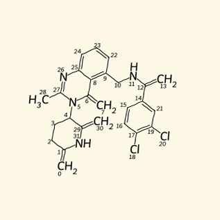 C=C1CCC(N2C(=C)c3c(CNC(=C)c4ccc(Cl)c(Cl)c4)cccc3N=C2C)C(=C)N1